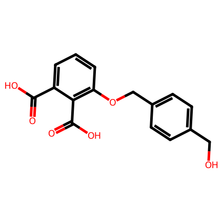 O=C(O)c1cccc(OCc2ccc(CO)cc2)c1C(=O)O